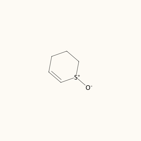 [O-][S+]1C=CCCC1